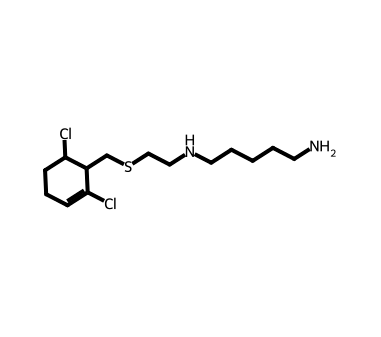 NCCCCCNCCSCC1C(Cl)=CCCC1Cl